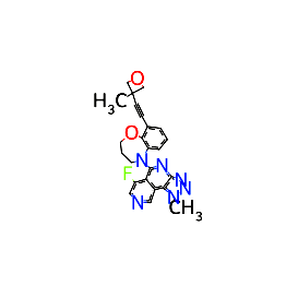 Cn1nnc2nc(N3CCCOc4c(C#CC5(C)COC5)cccc43)c3c(F)cncc3c21